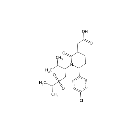 CC(C)C(CS(=O)(=O)C(C)C)N1C(=O)C(CC(=O)O)CCC1c1ccc(Cl)cc1